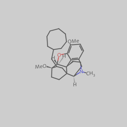 COc1ccc2c3c1O[C@H]1[C@@]4(OC)CCC5(C[C@@H]4CC4CCCCCCC4)[C@@H](C2)N(C)CC[C@]315